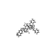 N[C@@H](NC(=O)C1CCCN1C(=O)C(Cc1ccccc1)NC(=O)OCc1ccccc1)c1ccc2cnccc2c1